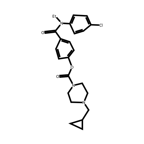 CCN(C(=O)c1ccc(OC(=O)N2CCN(CC3CC3)CC2)cc1)c1ccc(Cl)cc1